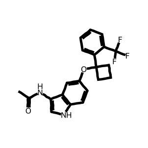 CC(=O)Nc1c[nH]c2ccc(OC3(c4ccccc4C(F)(F)F)CCC3)cc12